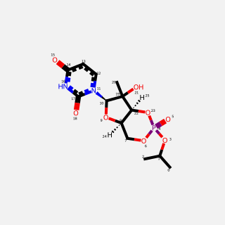 CC(C)OP1(=O)OC[C@H]2O[C@@H](n3ccc(=O)[nH]c3=O)C(C)(O)[C@H]2O1